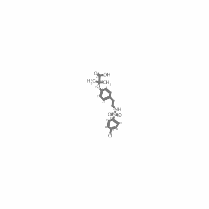 CC(C)(Oc1ccc(CCNS(=O)(=O)c2ccc(Cl)cc2)cc1)C(=O)O